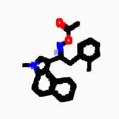 CC(=O)O/N=C(\Cc1ccccc1C)c1cn(C)c2ccc3ccccc3c12